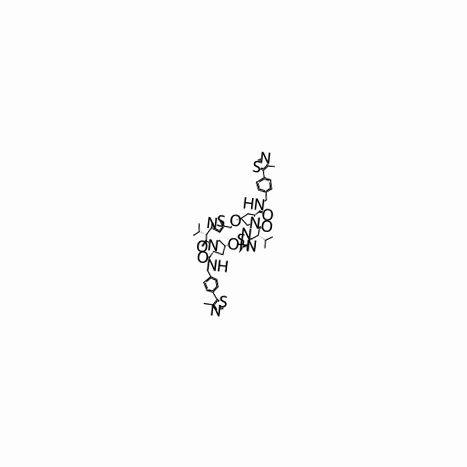 Cc1nc([C@H](C(=O)N2C[C@H](OCc3cc([C@H](C(=O)N4C[C@H](O)C[C@H]4C(=O)NCc4ccc(-c5scnc5C)cc4)C(C)C)ns3)C[C@H]2C(=O)NCc2ccc(-c3scnc3C)cc2)C(C)C)ns1